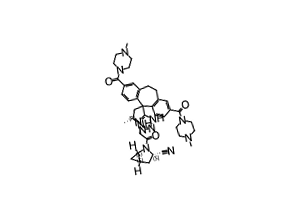 C[C@H](CC1(c2nnn[nH]2)c2ccc(C(=O)N3CCN(C)CC3)cc2CCc2cc(C(=O)N3CCN(C)CC3)ccc21)NCC(=O)N1[C@H](C#N)C[C@@H]2C[C@@H]21